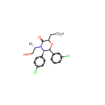 CC[C@@H](CO)N1C(=O)C(CC(=O)O)OC(c2cccc(Cl)c2)[C@H]1c1ccc(Cl)cc1